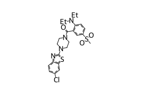 CCN(CC)c1ccc(S(C)(=O)=O)cc1C(=O)N1CCN(c2nc3ccc(Cl)cc3s2)CC1